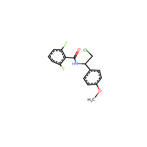 COc1ccc(C(CCl)NC(=O)c2c(F)cccc2F)cc1